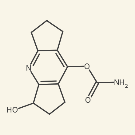 NC(=O)Oc1c2c(nc3c1CCC3O)CCC2